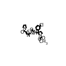 COC(=O)N1CCC2(C1)CN(C(=O)Nc1ncc(C(=O)N3CCCC3)s1)c1ccc(Cl)cc12